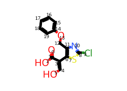 O=C(O)C(=CO)c1sc(Cl)nc1COc1ccccc1